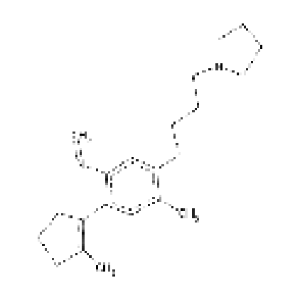 C=Nc1cc(CCCCN2CCCC2)c(C)cc1C1=C(C)CCC1